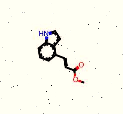 COC(=O)/C=C/c1cccc2[nH]ccc12